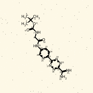 CC(C)(C)OC(=O)NCC(=O)Nc1ccc(-c2nnc(C(=N)N)nn2)nc1